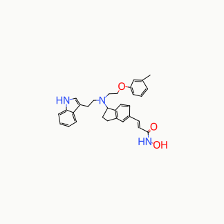 Cc1cccc(OCCN(CCc2c[nH]c3ccccc23)C2CCc3cc(C=CC(=O)NO)ccc32)c1